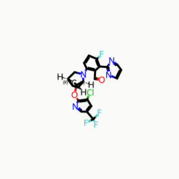 O=Cc1c(N2C[C@@H]3CC[C@H]2[C@H](Oc2ncc(C(F)(F)F)cc2Cl)C3)ccc(F)c1-c1ncccn1